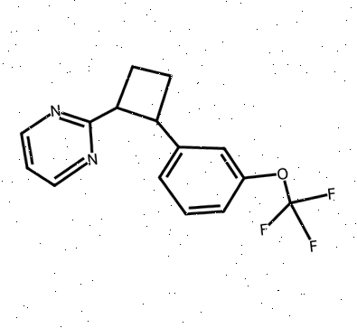 FC(F)(F)Oc1cccc([C]2CCC2c2ncccn2)c1